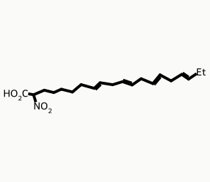 CC/C=C/C/C=C/C/C=C/C/C=C/CCCCCC(C(=O)O)[N+](=O)[O-]